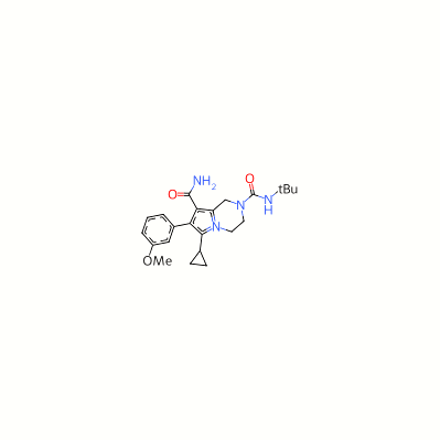 COc1cccc(-c2c(C(N)=O)c3n(c2C2CC2)CCN(C(=O)NC(C)(C)C)C3)c1